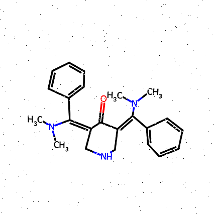 CN(C)C(=C1CNCC(=C(c2ccccc2)N(C)C)C1=O)c1ccccc1